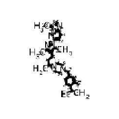 C=C(CC)c1ccc(CN2CCN(C(=C)CCc3c(C)nn(-c4ccc5nnc(C)n5n4)c3C)CC2)cc1F